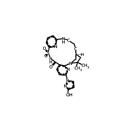 CC1(C)C[C@@H]2CCCNc3cccc(n3)S(=O)(=O)NC(=O)c3ccc(-n4ccc(O)n4)nc3N1C2